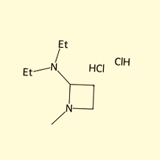 CCN(CC)C1CCN1C.Cl.Cl